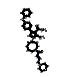 NC(=O)c1c(-c2ccc(Oc3ccccc3)cc2)nn([C@H]2CCCCN(C(=O)/C=C/CN3CCOCC3)CC2)c1N